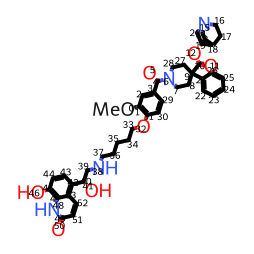 COc1cc(C(=O)N2CCC(C(=O)OC3CN4CCC3CC4)(c3ccccc3)CC2)ccc1OCCCCCNCC(O)c1ccc(O)c2[nH]c(=O)ccc12